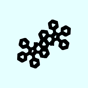 c1ccc(C2=C(c3ccccc3)C(c3ccccc3)=C(c3ccccc3)C2=Nc2ccc(N=C3C(c4ccccc4)=C(c4ccccc4)C(c4ccccc4)=C3c3ccccc3)cc2)cc1